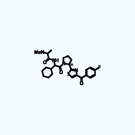 CNC(C)C(=O)NC(C(=O)N1CCC[C@H]1c1nc(C(=O)c2ccc(F)cc2)cs1)C1CCCCC1